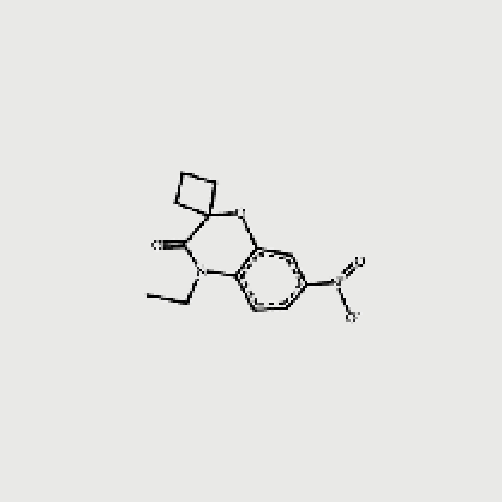 CCN1C(=O)C2(CCC2)Oc2cc([N+](=O)[O-])ccc21